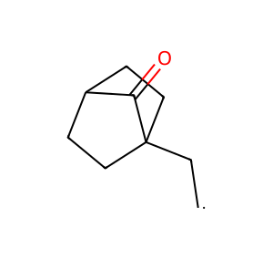 [CH2]CC12CCC(CC1)C2=O